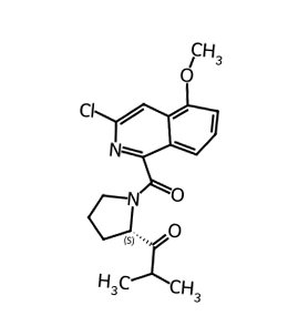 COc1cccc2c(C(=O)N3CCC[C@H]3C(=O)C(C)C)nc(Cl)cc12